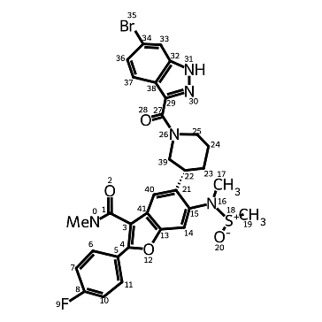 CNC(=O)c1c(-c2ccc(F)cc2)oc2cc(N(C)[S+](C)[O-])c([C@H]3CCCN(C(=O)c4n[nH]c5cc(Br)ccc45)C3)cc12